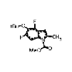 COC(=O)n1c(C)cc2c(F)c(OC(C)(C)C)c(F)cc21